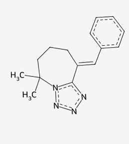 CC1(C)CCCC(=Cc2ccccc2)c2nnnn21